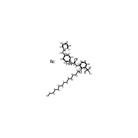 CCCCCCCCCCCCCCOc1c(CC(=O)Nc2ccc(C[n+]3ccccc3)cc2)cccc1C(C)(C)C.[Br-]